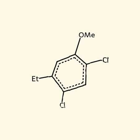 CCc1cc(OC)c(Cl)cc1Cl